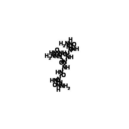 Nc1nc2c(c(=O)[nH]1)NCN2CCC(=O)NCCNCCN(CCNC(=O)CCN1CNc2c1nc(N)[nH]c2=O)C(=O)CCN1CNc2c1nc(N)[nH]c2=O